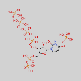 O=P(O)(O)O.O=P(O)(O)O.O=P(O)(O)O.O=P(O)(O)O.O=P(O)(O)O.O=c1ccn([C@@H]2O[C@H](COP(=O)(O)OP(=O)(O)O)[C@@H](O)[C@H]2O)c(=O)[nH]1